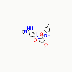 COc1ccc(NC(=O)c2ccc(C(=N)N3CCC3)cc2)c(C(=O)Nc2ccc(C)cc2)c1